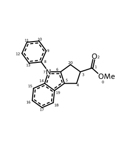 COC(=O)C1Cc2c(n(-c3ccccc3)c3ccccc23)C1